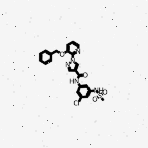 CS(=O)(=O)Nc1cc(Cl)cc(NC(=O)c2cnn(-c3ncccc3OCc3ccccc3)c2)c1